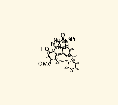 COc1cc(O)c(-c2nnc(C(=O)NC(C)C)n2-c2ccc(CN3CCCCC3)cc2)cc1C(C)C